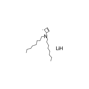 CCCCCCCCN(CCCCCCCC)C1[CH]C=C1.[LiH]